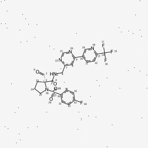 O=C[C@@]1(C(=O)NCc2cc(-c3ccc(C(F)(F)F)nc3)ncn2)CCCN1S(=O)(=O)c1ccc(F)cc1